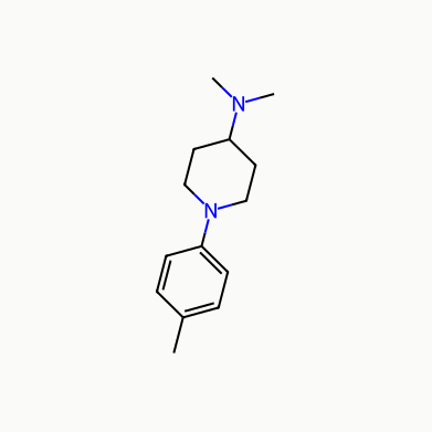 Cc1ccc(N2CCC(N(C)C)CC2)cc1